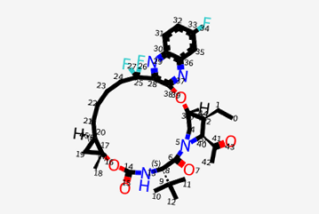 CC[C@@H]1[C@@H]2CN(C(=O)[C@H](C(C)(C)C)NC(=O)O[C@]3(C)C[C@H]3CCCCC(F)(F)c3nc4ccc(F)cc4nc3O2)[C@@H]1C(C)=O